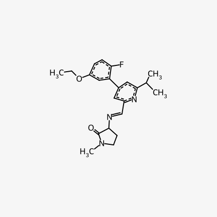 CCOc1ccc(F)c(-c2cc(C=NC3CCN(C)C3=O)nc(C(C)C)c2)c1